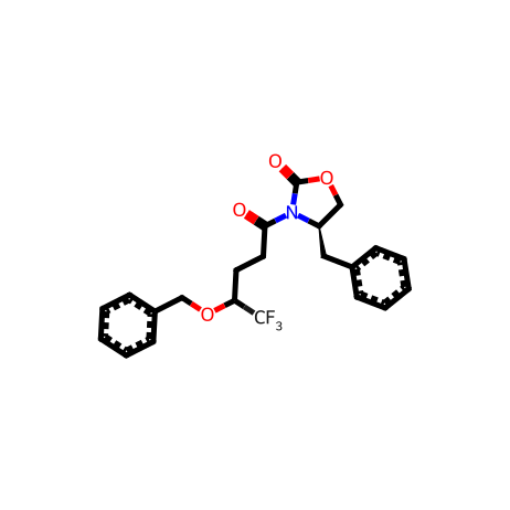 O=C(CCC(OCc1ccccc1)C(F)(F)F)N1C(=O)OC[C@H]1Cc1ccccc1